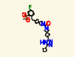 CS(=O)(=O)c1cc(F)ccc1CC1CC2(C1)CN(C(=O)N1CC3(CC(c4nnc(C5CCC5)[nH]4)C3)C1)C2